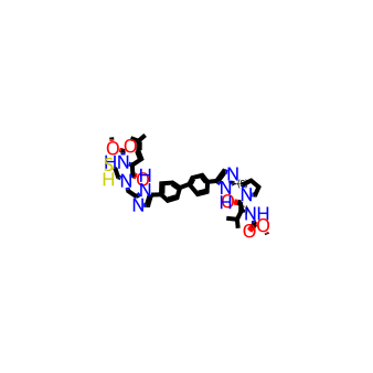 COC(=O)NC(C=C=C(C)C)C(=O)N(CCS)Cc1ncc(-c2ccc(-c3ccc(-c4cnc([C@@H]5CCCN5C(=O)[C@@H](NC(=O)OC)C(C)C)[nH]4)cc3)cc2)[nH]1